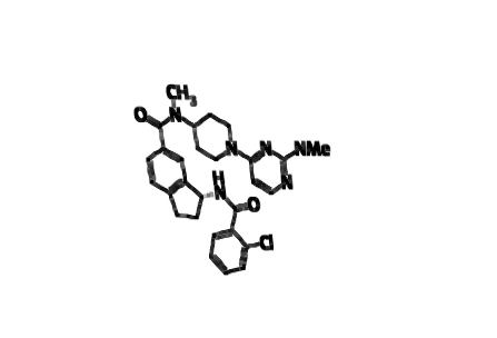 CNc1nccc(N2CCC(N(C)C(=O)c3ccc4c(c3)[C@H](NC(=O)c3ccccc3Cl)CC4)CC2)n1